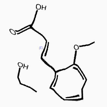 CCO.COc1ccccc1/C=C/C(=O)O